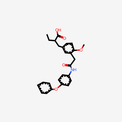 CCC(Cc1ccc(OC)c(CC(=O)Nc2ccc(Oc3ccccc3)cc2)c1)C(=O)O